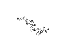 CN(C)CCCNC(=O)c1cc(NC(=O)c2cc(NC(=O)c3cc(NC(=O)C4CC4)cn3C)cn2C)cn1C